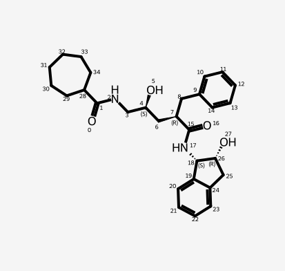 O=C(NC[C@@H](O)C[C@@H](Cc1ccccc1)C(=O)N[C@H]1c2ccccc2C[C@H]1O)C1CCCCCC1